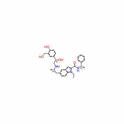 CCn1c(C(=O)N[C@H](C)c2ccccc2)cc2cc(C[C@@H](C)NC[C@H](O)c3ccc(O)c(CO)c3)ccc21